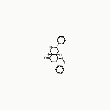 O=C1C[C@@H](c2ccccc2)N(SI)[C@H]2C[C@@H](c3ccccc3)NC[C@@H]12